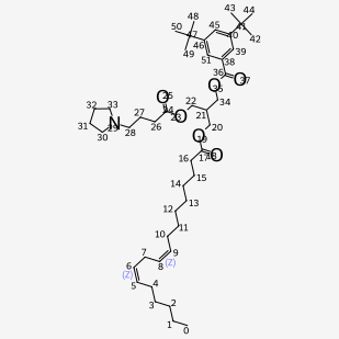 CCCCC/C=C\C/C=C\CCCCCCCC(=O)OCC(COC(=O)CCCN1CCCC1)COC(=O)c1cc(C(C)(C)C)cc(C(C)(C)C)c1